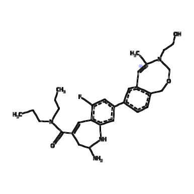 CCCN(CCC)C(=O)C1=Cc2c(F)cc(-c3ccc4c(c3)/C=C(/C)N(CCO)COC4)cc2NC(N)C1